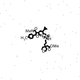 CNC(=O)c1c(-c2ccc(C)cc2)oc2nc(CS(=O)(=O)NCCCC3(CC(=O)OC)CCOCC3)c(C3CC3)cc12